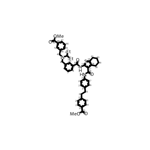 CCC(CC)N(Cc1cccc(C(=O)Nc2sc3c(c2C(=O)Nc2ccc(CCc4ccc(C(=O)OC)cc4)cc2)CCCC3)c1)Cc1cccc(C(=O)OC)c1